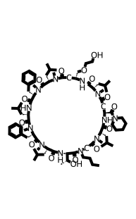 CCCCN1CC(=O)N(C)[C@@H](CC(C)C)C(=O)N[C@H](C(=O)N2CCCCC2)CC(=O)N(C)[C@@H](CC(C)C)C(=O)N[C@@H](COCCO)CC(=O)N(C)[C@@H](CC(C)C)C(=O)N(C)[C@@H](Cc2ccccc2)C(=O)N[C@@H](CC(C)C)C(=O)N(C)[C@@H](Cc2ccccc2)C(=O)N(C)[C@@H](CC(C)C)C(=O)N[C@@H]([C@@H](C)O)C1=O